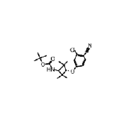 CC(C)(C)OC(=O)N[C@H]1C(C)(C)[C@H](Oc2ccc(C#N)c(Cl)c2)C1(C)C